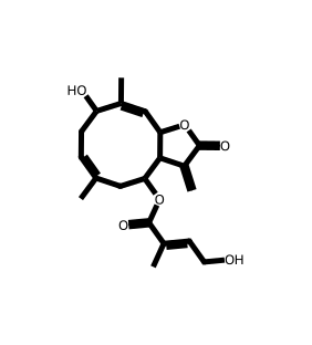 C=C1C(=O)OC2C=C(C)C(O)CC=C(C)CC(OC(=O)C(C)=CCO)C12